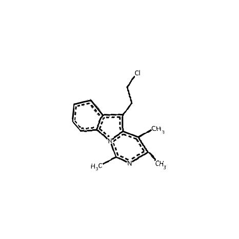 Cc1nc(C)n2c(c1C)c(CCCl)c1ccccc12